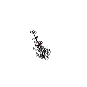 CC[C@H](C)[C@@H]([C@@H](CC(=O)N1CCCC1[C@H](OC)[C@@H](C)C(=O)N[C@@H](Cc1ccccc1)P(=O)(O)CC(=O)NCCCNC(=O)CCCCCN1C(=O)C=CC1=O)OC)N(C)C(=O)C(N=C(N(C)C)N(C)C)C(C)C